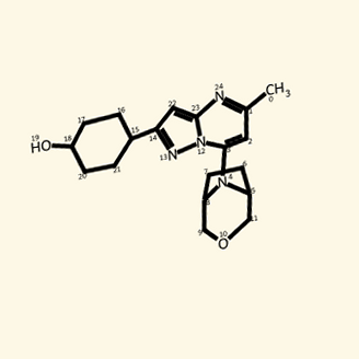 Cc1cc(N2C3CCC2COC3)n2nc(C3CCC(O)CC3)cc2n1